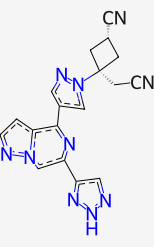 N#CC[C@]1(n2cc(-c3nc(-c4cn[nH]n4)cn4nccc34)cn2)C[C@H](C#N)C1